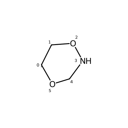 [CH]1CONCO1